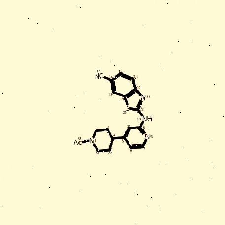 CC(=O)N1CCC(c2ccnc(Nc3nc4ccc(C#N)cc4s3)c2)CC1